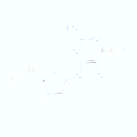 Nc1nc2c(ncn2C2CC(O)C(O)(CO)C2)c(=O)[nH]1